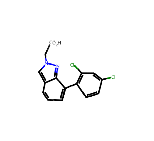 O=C(O)Cn1cc2cccc(-c3ccc(Cl)cc3Cl)c2n1